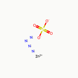 O=S(=O)([O-])[O-].[N].[N].[N].[N].[Zn+2]